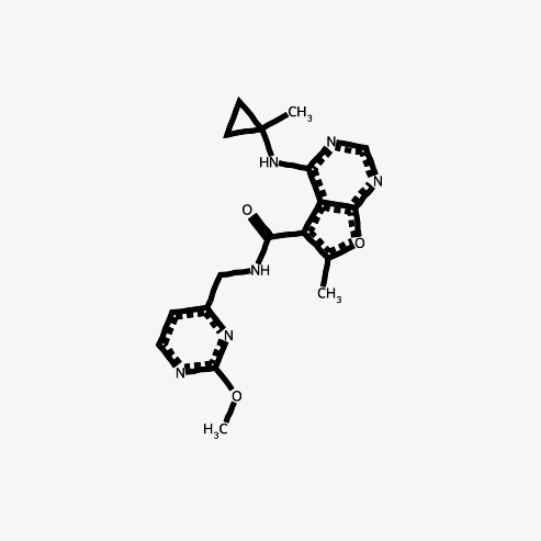 COc1nccc(CNC(=O)c2c(C)oc3ncnc(NC4(C)CC4)c23)n1